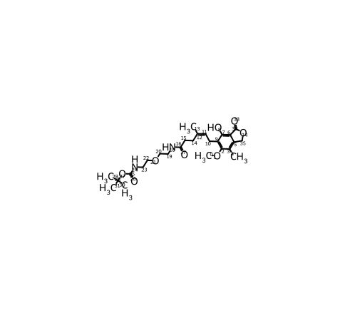 COc1c(C)c2c(c(O)c1CC=C(C)CCC(=O)NCCOCCNC(=O)OC(C)(C)C)C(=O)OC2